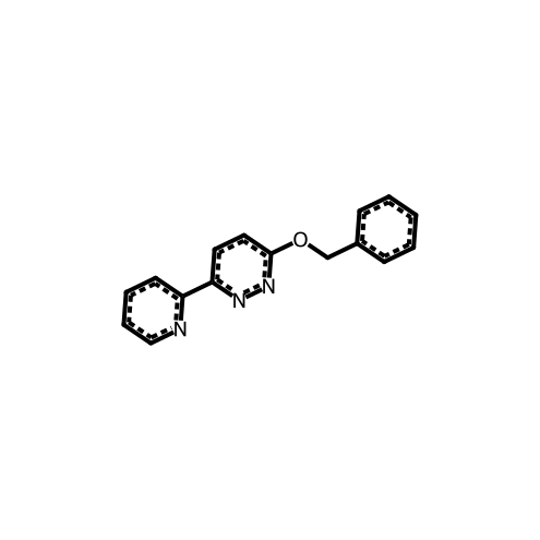 c1ccc(COc2ccc(-c3ccccn3)nn2)cc1